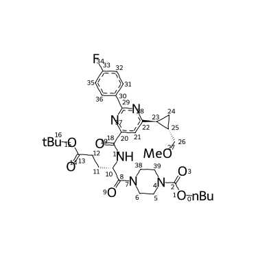 CCCCOC(=O)N1CCN(C(=O)[C@H](CCC(=O)OC(C)(C)C)NC(=O)c2cc([C@H]3C[C@@H]3COC)nc(-c3ccc(F)cc3)n2)CC1